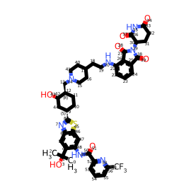 CC(C)(O)c1cc2nc([C@H]3CC[C@H](CN4CCC(CCNc5cccc6c5C(=O)N(C5CCC(=O)NC5=O)C6=O)CC4)C(O)C3)sc2cc1NC(=O)c1cccc(C(F)(F)F)n1